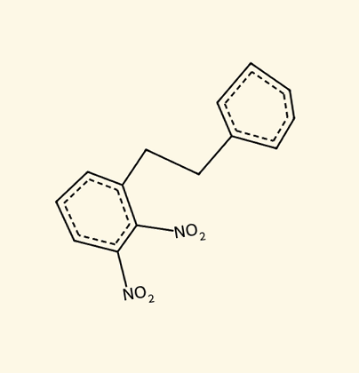 O=[N+]([O-])c1cccc(CCc2ccccc2)c1[N+](=O)[O-]